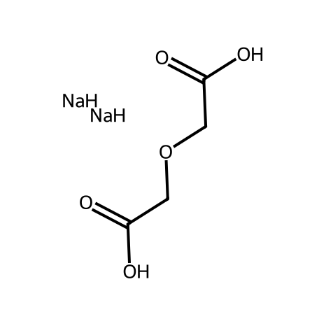 O=C(O)COCC(=O)O.[NaH].[NaH]